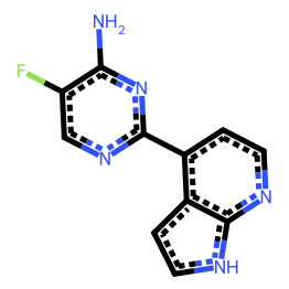 Nc1nc(-c2ccnc3[nH]ccc23)ncc1F